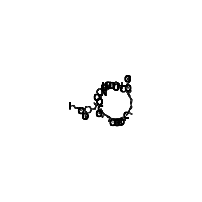 COCCO[C@H]1C[C@@H]2CC[C@@H](C)[C@@](O)(O2)C(=O)C(=O)N2CCCCC2C(=O)O[C@H](C(C)C[C@@H]2CC[C@@H](OCCCI)[C@H](OC)C2)CC(=O)[C@H](C)/C=C(\C)[C@@H](O)[C@@H](OC)C(=O)[C@H](C)C[C@H](C)/C=C/C=C/C=C/1C